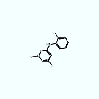 ClC1=NN(Cl)NC(Nc2ccccc2Cl)=C1